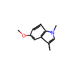 COc1ccc2c(c1)c(C)cn2C